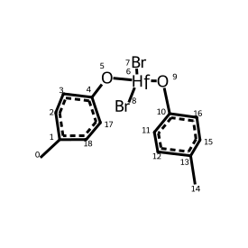 Cc1ccc([O][Hf]([Br])([Br])[O]c2ccc(C)cc2)cc1